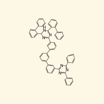 c1ccc(-c2nc(-c3ccccc3)nc(-c3cccc(-c4cccc(-c5cccc(C6=NC(c7ccccc7-c7ccccc7)NC(c7ccccc7-c7ccccc7)=N6)c5)c4)c3)n2)cc1